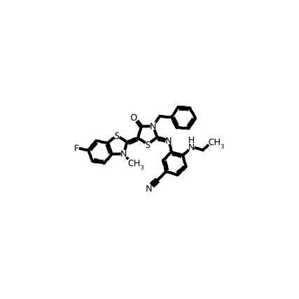 CCNc1ccc(C#N)cc1N=C1SC(=C2Sc3cc(F)ccc3N2C)C(=O)N1Cc1ccccc1